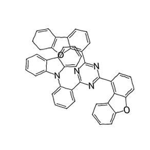 C1=Cc2c(oc3c(-c4nc(-c5ccccc5-n5c6ccccc6c6ccccc65)nc(-c5cccc6oc7ccccc7c56)n4)cccc23)CC1